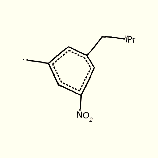 [CH2]c1cc(CC(C)C)cc([N+](=O)[O-])c1